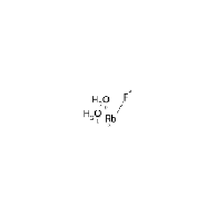 O.O.[F][Rb]